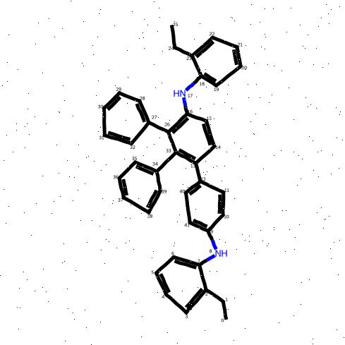 CCc1ccccc1Nc1ccc(-c2ccc(Nc3ccccc3CC)c(-c3ccccc3)c2-c2ccccc2)cc1